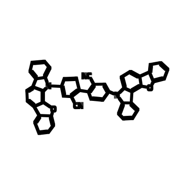 N#Cc1cc(-n2c3ccccc3c3c4oc5ccccc5c4ccc32)ccc1-c1ccc(-n2c3ccccc3c3ccc4c5ccccc5oc4c32)cc1C#N